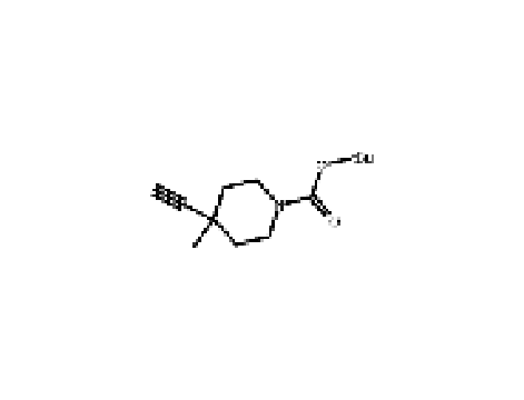 C#CC1(C)CCN(C(=O)OC(C)(C)C)CC1